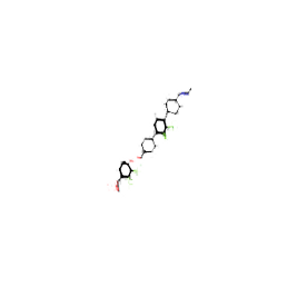 C/C=C/C1CCC(c2ccc(C3CCC(COc4ccc(C5CO5)c(F)c4F)CC3)c(F)c2F)CC1